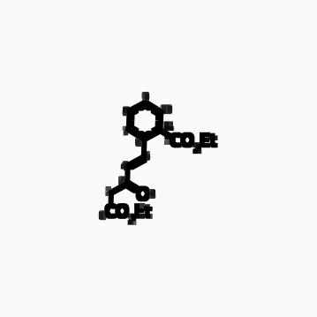 CCOC(=O)CC(=O)C=Cc1ccccc1C(=O)OCC